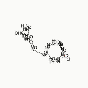 C/C=C(\C)[C@H]1OC(=O)[C@@H](C)NC(=O)[C@H]([C@H](C)CC)NC(=O)CN(C)C(=O)[C@@H](Cc2ccc(Cl)cc2)N(C)C(=O)[C@H](C)NC(=O)[C@@H](CC(C)C)OC(=O)/C(C)=C/C[C@H](OC(=O)N(C)CCCCCCN(C)C(=O)OCc2ccc(NC(=O)[C@H](CCCNC(N)=O)NN[C@H](C=O)C(C)C)cc2)[C@@H]1C